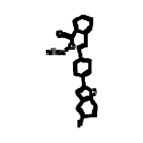 CCCCCCOC(=O)c1ccccc1C=Cc1ccc(-c2cc3cc(F)ccc3o2)cc1